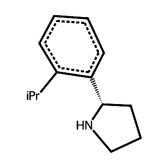 CC(C)c1ccccc1[C@@H]1CCCN1